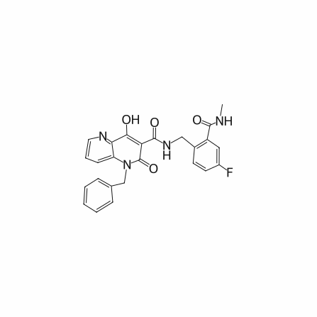 CNC(=O)c1cc(F)ccc1CNC(=O)c1c(O)c2ncccc2n(Cc2ccccc2)c1=O